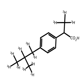 [2H]C([2H])([2H])C(C(=O)O)c1ccc(C([2H])([2H])C([2H])(C([2H])([2H])[2H])C([2H])([2H])[2H])cc1